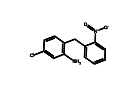 Nc1cc(Cl)ccc1Cc1ccccc1[N+](=O)[O-]